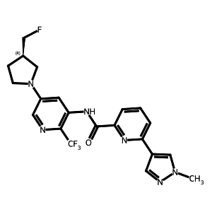 Cn1cc(-c2cccc(C(=O)Nc3cc(N4CC[C@@H](CF)C4)cnc3C(F)(F)F)n2)cn1